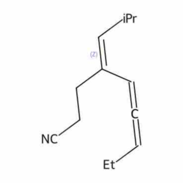 CCC=C=C/C(=C\C(C)C)CCC#N